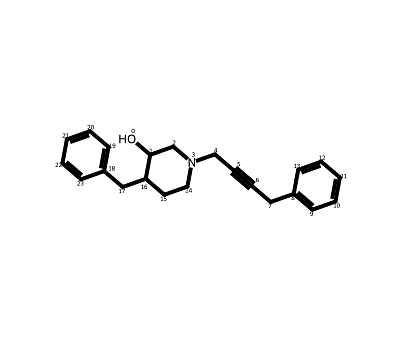 OC1CN(CC#CCc2ccccc2)CCC1Cc1ccccc1